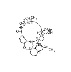 C=C1/C(=C\C(Cl)=C/C)CCC[C@]12COc1ccc3cc1N(C[C@@H]1CC[C@H]1[C@](CO)(OC)CCC[C@H](C)[C@@H](C)S(=O)(=O)NC3=O)C2